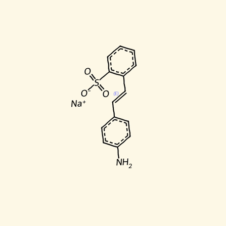 Nc1ccc(/C=C/c2ccccc2S(=O)(=O)[O-])cc1.[Na+]